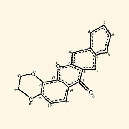 O=c1c2cc3ccccc3cc2oc2c3c(ccc12)OCCO3